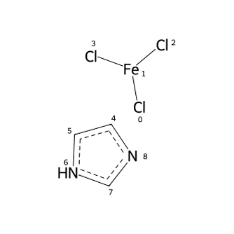 [Cl][Fe]([Cl])[Cl].c1c[nH]cn1